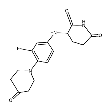 O=C1CCN(c2ccc(NC3CCC(=O)NC3=O)cc2F)CC1